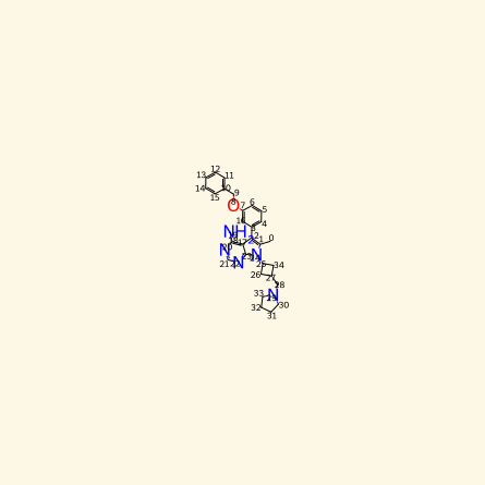 Cc1c(-c2cccc(OCc3ccccc3)c2)c2c(N)ncnc2n1[C@H]1C[C@H](CN2CCCC2)C1